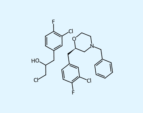 Fc1ccc(C[C@@H]2CN(Cc3ccccc3)CCO2)cc1Cl.OC(CCl)Cc1ccc(F)c(Cl)c1